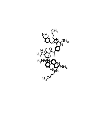 CCCCc1nc2c(N)nc3ccc(NC(=O)CC(C)C(C)CC(=O)Nc4ccc5nc(N)c6nc(CCCC)n(Cc7ccc(CN)cc7)c6c5c4)cc3c2n1Cc1ccc(CN)cc1